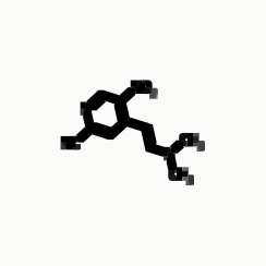 CN(C)C=Cc1cc(C#N)ncc1[N+](=O)[O-]